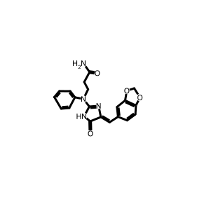 NC(=O)CCN(C1=NC(=Cc2ccc3c(c2)OCO3)C(=O)N1)c1ccccc1